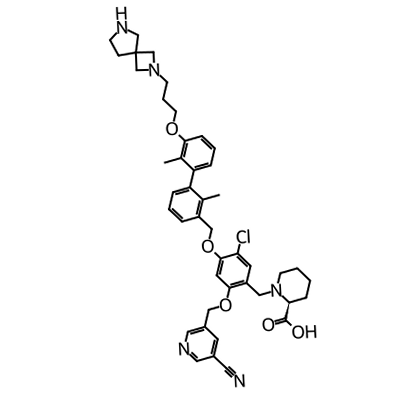 Cc1c(COc2cc(OCc3cncc(C#N)c3)c(CN3CCCC[C@H]3C(=O)O)cc2Cl)cccc1-c1cccc(OCCCN2CC3(CCNC3)C2)c1C